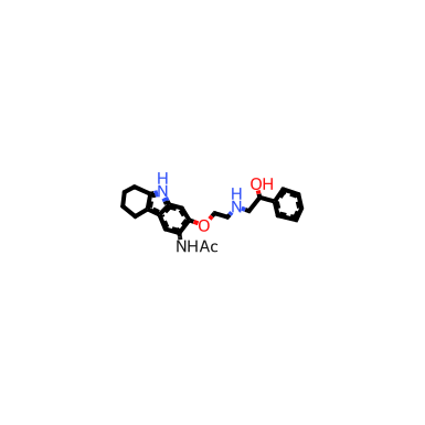 CC(=O)Nc1cc2c3c([nH]c2cc1OCCNCC(O)c1ccccc1)CCCC3